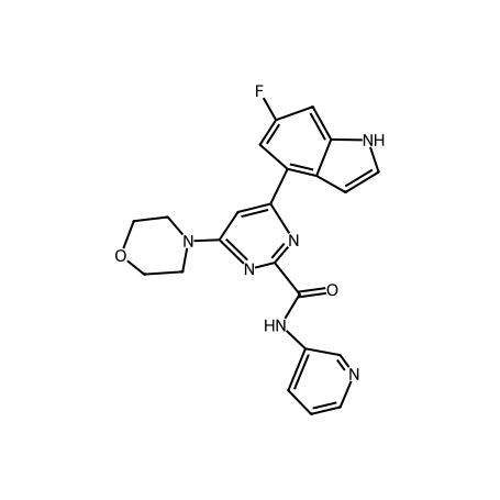 O=C(Nc1cccnc1)c1nc(-c2cc(F)cc3[nH]ccc23)cc(N2CCOCC2)n1